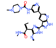 C=Nc1[nH]c(-c2n[nH]c3ncc(-c4cncc(NC(=O)N5CCN(C)CC5)c4)cc23)nc1/C(=C\C)C(=O)NC